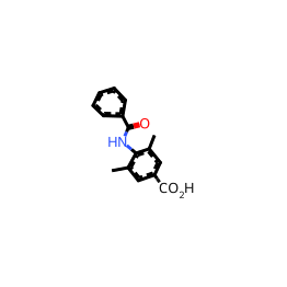 Cc1cc(C(=O)O)cc(C)c1NC(=O)c1ccccc1